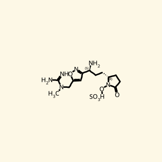 CN(Cc1cc([C@@H](N)CC[C@@H]2CCC(=O)N2OS(=O)(=O)O)no1)C(=N)N